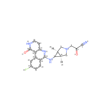 N#CC(=O)CN1C[C@@H]2C(Nc3nc4cc[nH]c(=O)c4c4cc(F)ccc34)[C@@H]2C1